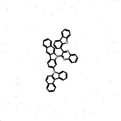 c1ccc2cc3c(cc2c1)c1ccc(-n2c4ccccc4c4c5ccccc5ccc42)cc1n3-c1nc2ccccc2nc1-c1cccc2c1oc1ccccc12